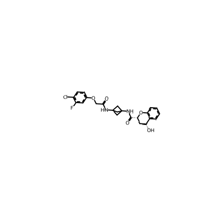 O=C(COc1ccc(Cl)c(F)c1)NC12CC(NC(=O)[C@H]3C[C@@H](O)c4ccccc4O3)(C1)C2